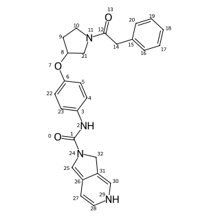 O=C(Nc1ccc(OC2CCN(C(=O)Cc3ccccc3)C2)cc1)N1C=C2C=CNC=C2C1